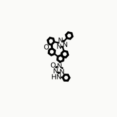 O=C1N=C2Nc3ccccc3N2CN1c1cccc(-c2ccc3oc4cccc(-c5nc(-c6ccccc6)nc(-c6ccccc6)n5)c4c3c2)c1